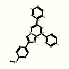 COc1ccc(-c2cn3cc(-c4ccccc4)cc(-c4ccccc4)c3n2)cc1